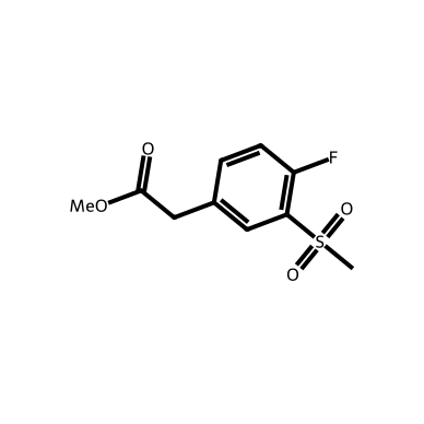 COC(=O)Cc1ccc(F)c(S(C)(=O)=O)c1